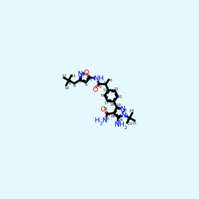 CC(C(=O)Nc1cc(CC(C)(C)C)no1)c1ccc(-c2nn(C(C)(C)C)c(N)c2C(N)=O)cc1